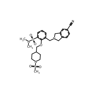 CN(C)S(=O)(=O)c1cccc(CN2Cc3ccc(C#N)cc3C2)c1OCC1CCN(S(C)(=O)=O)CC1